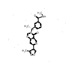 CNC(=O)c1cccc([C@@H](C)n2cnc3cc(-c4conc4C)ncc3c2=O)c1